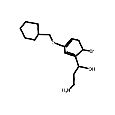 NCCC(O)C1=CC(OCC2CCCCC2)=CCC1Br